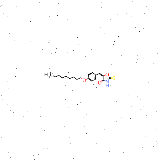 CCCCCCCCCOc1ccc(C=C2OC(=S)NC2=O)cc1